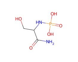 NC(=O)C(CO)NP(=O)(O)O